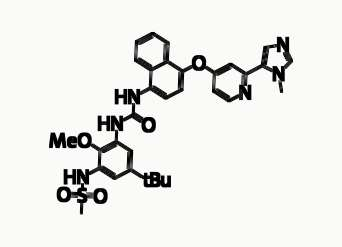 COc1c(NC(=O)Nc2ccc(Oc3ccnc(-c4cncn4C)c3)c3ccccc23)cc(C(C)(C)C)cc1NS(C)(=O)=O